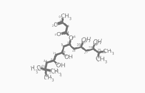 CC(=O)CC(=O)OC(CC(O)CC(O)CC(C)(C)C)CC(O)CC(O)C(C)C